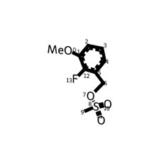 COc1cccc(COS(C)(=O)=O)c1F